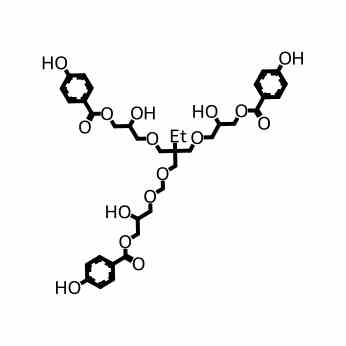 CCC(COCOCC(O)COC(=O)c1ccc(O)cc1)(COCC(O)COC(=O)c1ccc(O)cc1)COCC(O)COC(=O)c1ccc(O)cc1